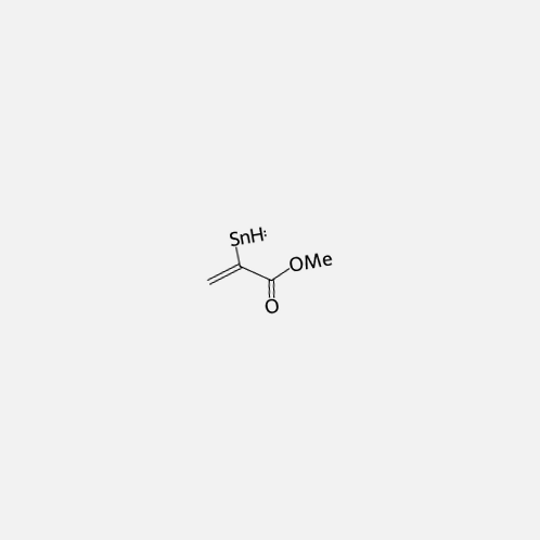 C=[C]([SnH])C(=O)OC